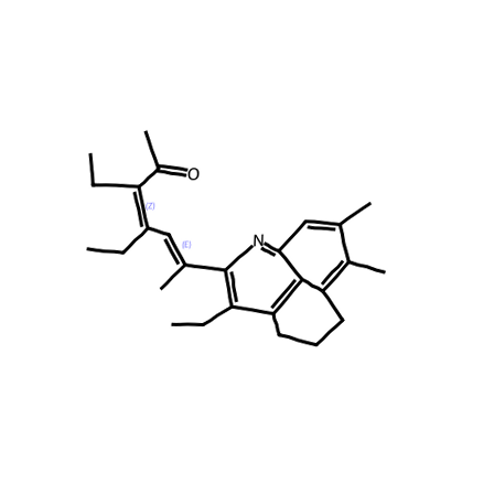 CCC(/C=C(\C)c1nc2cc(C)c(C)c3c2c(c1CC)CCC3)=C(\CC)C(C)=O